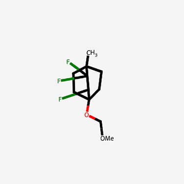 COCOC12CCC(C)(CC1)C(F)(F)C2F